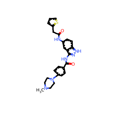 CN1CCN(c2ccc(C(=O)Nc3n[nH]c4ccc(NC(=O)Cc5cccs5)cc34)cc2)CC1